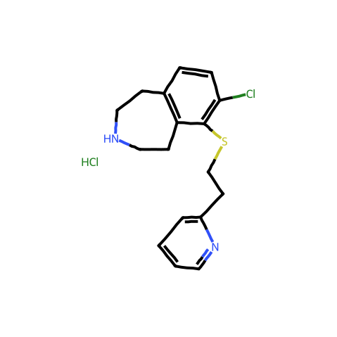 Cl.Clc1ccc2c(c1SCCc1ccccn1)CCNCC2